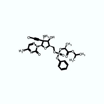 CC(C)OC(=O)[C@H](C)OP(=O)(OC[C@H]1O[C@@H](n2ncc(N)nc2=O)[C@@](N)(C#CCl)C1O)Oc1ccccc1